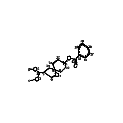 COC(OC)C1COC2(CCN(OC(=O)c3ccccc3)CC2)C1